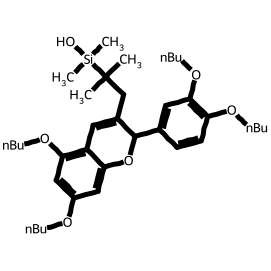 CCCCOc1cc(OCCCC)c2c(c1)OC(c1ccc(OCCCC)c(OCCCC)c1)C(CC(C)(C)[Si](C)(C)O)=C2